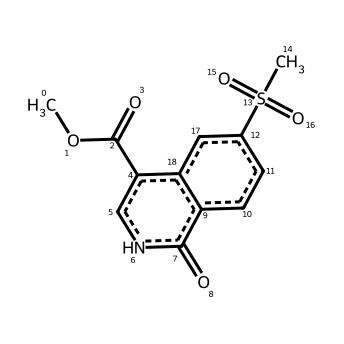 COC(=O)c1c[nH]c(=O)c2ccc(S(C)(=O)=O)cc12